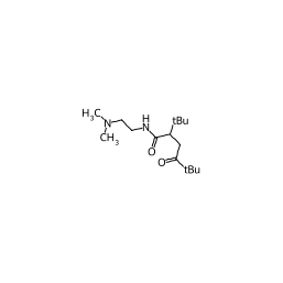 CN(C)CCNC(=O)C(CC(=O)C(C)(C)C)C(C)(C)C